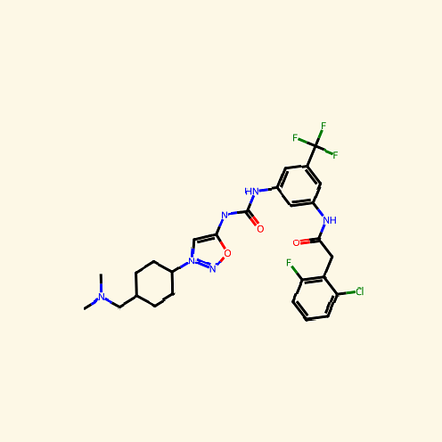 CN(C)CC1CCC([n+]2cc([N-]C(=O)Nc3cc(NC(=O)Cc4c(F)cccc4Cl)cc(C(F)(F)F)c3)on2)CC1